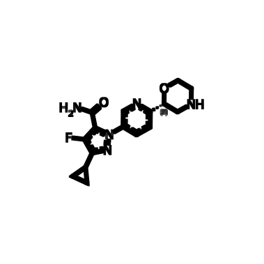 NC(=O)c1c(F)c(C2CC2)nn1-c1ccc([C@H]2CNCCO2)nc1